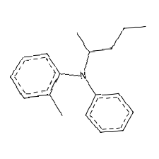 CCCC(C)N(c1ccccc1)c1ccccc1C